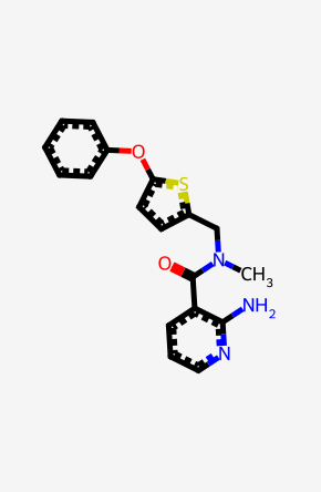 CN(Cc1ccc(Oc2ccccc2)s1)C(=O)c1cccnc1N